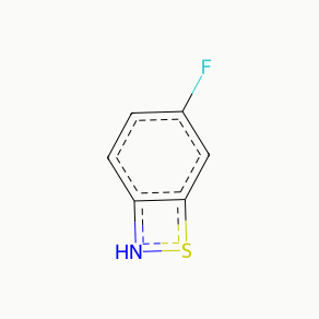 Fc1ccc2[nH]sc2c1